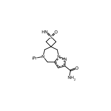 CC(C)N1Cc2cc(C(N)=O)nn2CC2(C1)CS(=N)(=O)C2